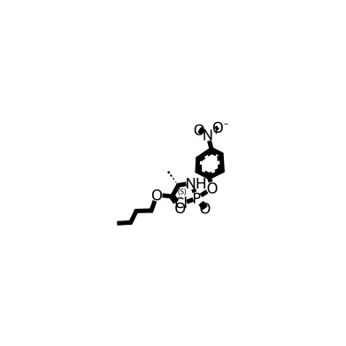 CCCCOC(=O)[C@H](C)NP(=O)(Cl)Oc1ccc([N+](=O)[O-])cc1